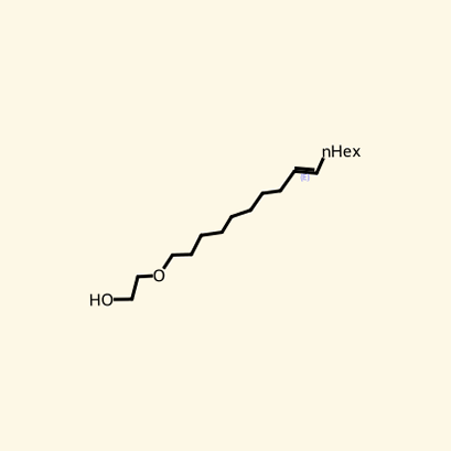 CCCCCC/C=C/CCCCCCCCOCCO